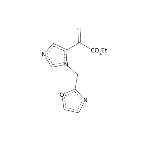 C=C(C(=O)OCC)c1cncn1Cc1ncco1